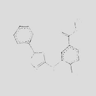 CONC(=O)c1ccc(C)c(NC2=NOC(c3ccccc3)N2)c1